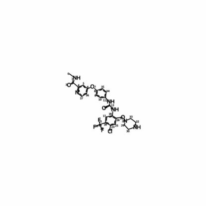 CNC(=O)c1cc(Oc2ccc(NC(=O)Nc3cc(C(F)(F)F)c(Cl)cc3ON3CCNCC3)cc2)ccn1